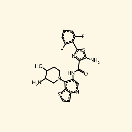 Nc1sc(-c2c(F)cccc2F)nc1C(=O)Nc1cnc2ccsc2c1N1CCC(O)C(N)C1